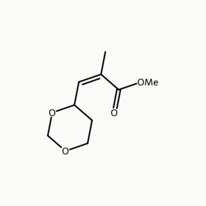 COC(=O)C(C)=CC1CCOCO1